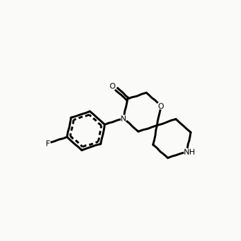 O=C1COC2(CCNCC2)CN1c1ccc(F)cc1